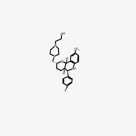 OCCN1CCN(C[C@H]2CC[C@@H]3[C@H](O2)c2cc(C(F)(F)F)ccc2N[C@H]3c2ccc(F)cc2)CC1